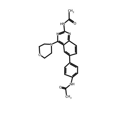 CC(=O)Nc1ccc(-c2ccc3nc(NC(C)=O)nc(N4CCOCC4)c3c2)cc1